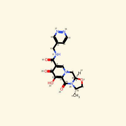 C[C@H]1CO[C@@H]2Cn3cc(C(=O)NCc4ccnnc4)c(=O)c(O)c3C(=O)N12